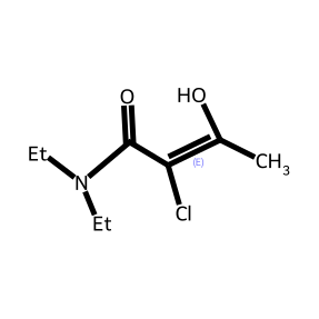 CCN(CC)C(=O)/C(Cl)=C(/C)O